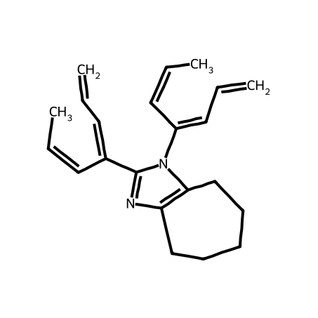 C=C/C=C(\C=C/C)c1nc2c(n1C(/C=C\C)=C/C=C)CCCCC2